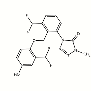 Cn1nnn(-c2cccc(C(F)F)c2COc2ccc(O)cc2C(F)F)c1=O